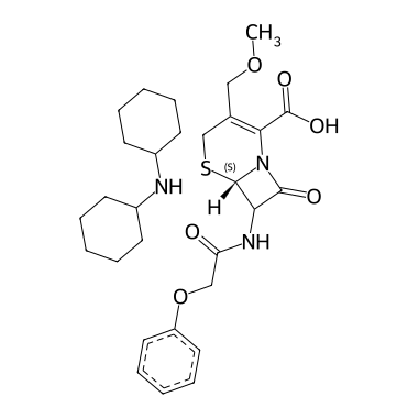 C1CCC(NC2CCCCC2)CC1.COCC1=C(C(=O)O)N2C(=O)C(NC(=O)COc3ccccc3)[C@@H]2SC1